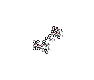 CC1(C)c2ccccc2-c2ccc(N(c3ccc4c(c3)C(C)(C)c3cc(-c5ccc6c(c5)C(C)(C)c5cc(N(c7ccc8c(c7)C(C)(C)c7ccccc7-8)c7ccc8c(c7)C7(c9ccccc9-8)c8ccccc8C(c8ccccc8)(c8ccccc8)c8ccccc87)ccc5-6)ccc3-4)c3ccc4c(c3)C3(c5ccccc5-4)c4ccccc4C(C)(C)c4ccccc43)cc21